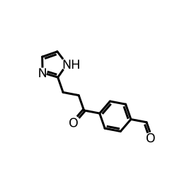 O=Cc1ccc(C(=O)CCc2ncc[nH]2)cc1